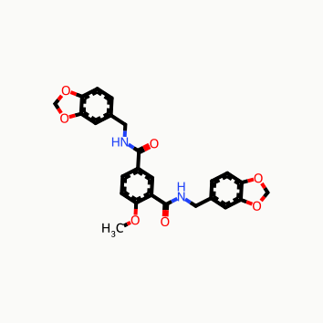 COc1ccc(C(=O)NCc2ccc3c(c2)OCO3)cc1C(=O)NCc1ccc2c(c1)OCO2